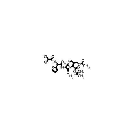 CC(=O)OCC1=C(C(=O)OC(C)(C)C)N2C(=O)[C@@H](NC(=O)/C(=N/OC(=O)C(Cl)Cl)c3cccs3)[C@H]2SC1